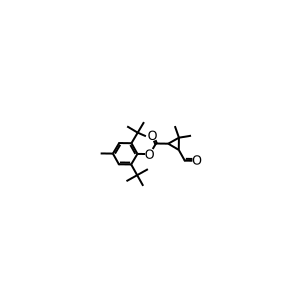 Cc1cc(C(C)(C)C)c(OC(=O)C2C(C=O)C2(C)C)c(C(C)(C)C)c1